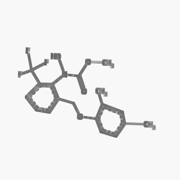 COC(=O)N(O)c1c(COc2ccc(C)cc2C)cccc1C(F)(F)F